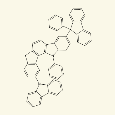 c1ccc(-n2c3ccc(C4(c5ccccc5)c5ccccc5-c5ccccc54)cc3c3ccc4c(c32)-c2cc(-n3c5ccccc5c5ccccc53)ccc2C4)cc1